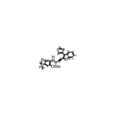 COc1cc(S(C)(=O)=O)c(F)cc1NCC#Cc1oc2ccccc2c1-c1cscn1